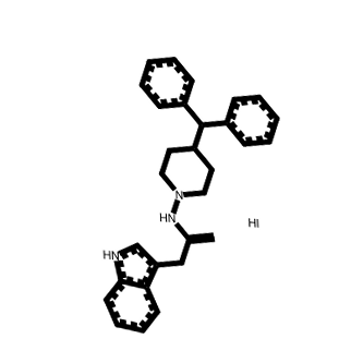 C=C(Cc1c[nH]c2ccccc12)NN1CCC(C(c2ccccc2)c2ccccc2)CC1.I